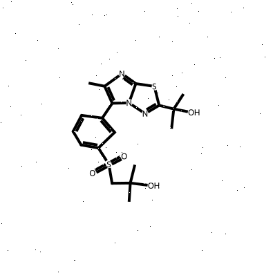 Cc1nc2sc(C(C)(C)O)nn2c1-c1cccc(S(=O)(=O)CC(C)(C)O)c1